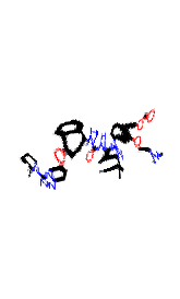 C[C@H]1CCCCN1c1nnc2ccc(O[C@@H]3CC[C@H](NC(=O)Nc4cc(C(C)(C)C)nn4-c4ccc(COC=O)c(OCCN(C)C)c4)c4ccccc43)cn12